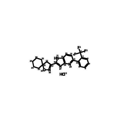 Cl.FC(F)(F)c1ccccc1-c1ccc2[nH]c(C3=NOC4(CCCCC4)C3)nc2n1